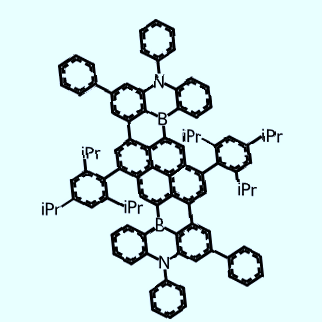 CC(C)c1cc(C(C)C)c(-c2cc3c4c(cc5c(-c6c(C(C)C)cc(C(C)C)cc6C(C)C)cc6c7c(cc2c4c57)B2c4ccccc4N(c4ccccc4)c4cc(-c5ccccc5)cc-6c42)B2c4ccccc4N(c4ccccc4)c4cc(-c5ccccc5)cc-3c42)c(C(C)C)c1